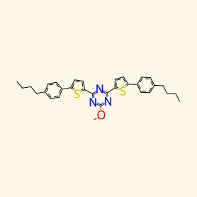 CCCCc1ccc(-c2ccc(-c3nc(OC)nc(-c4ccc(-c5ccc(CCCC)cc5)s4)n3)s2)cc1